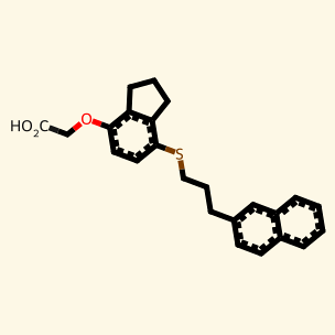 O=C(O)COc1ccc(SCCCc2ccc3ccccc3c2)c2c1CCC2